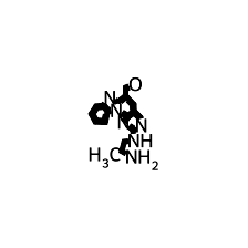 C[C@@H](N)CNc1ncc2cc(C=O)c3nc4ccccc4n3c2n1